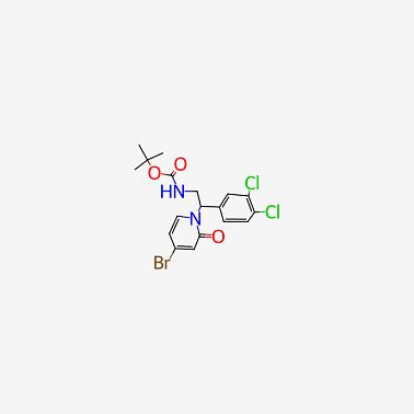 CC(C)(C)OC(=O)NCC(c1ccc(Cl)c(Cl)c1)n1ccc(Br)cc1=O